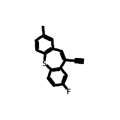 C#CC1=Cc2cc(C)ccc2Sc2ccc(F)cc21